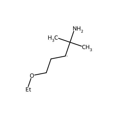 CCOCC[CH]C(C)(C)N